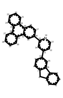 c1ccc2c(c1)Cc1ccc(-c3ccnc(-c4ccc5c6ccccc6c6ccccc6c5c4)c3)cc1-2